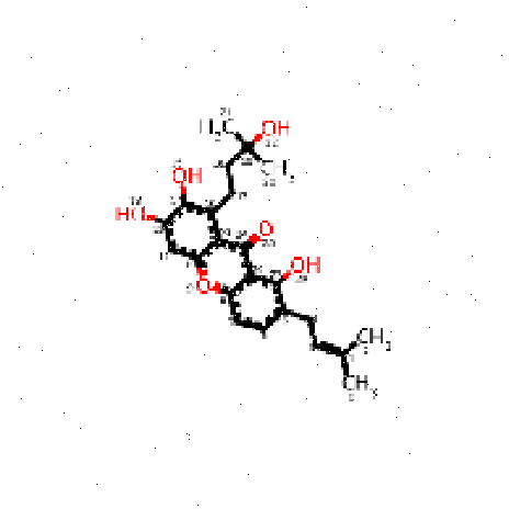 CC(C)=CCc1ccc2oc3cc(O)c(O)c(CCC(C)(C)O)c3c(=O)c2c1O